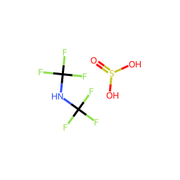 FC(F)(F)NC(F)(F)F.O=S(O)O